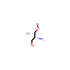 CCOC[C@H](N)CO.Cl